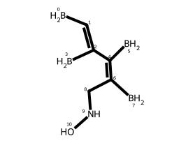 B/C=C(B)/C(B)=C(/B)CNO